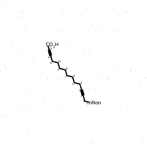 CCCCCCCCCCC#CCCCCCCCCC#CC(=O)O